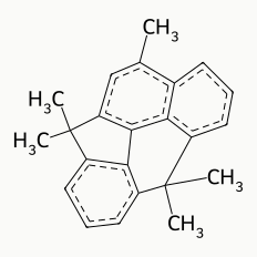 Cc1cc2c3c4c(cccc14)C(C)(C)c1cccc(c1-3)C2(C)C